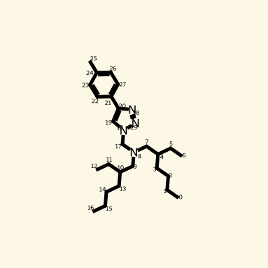 CCCCC(CC)CN(CC(CC)CCCC)Cn1cc(-c2ccc(C)cc2)nn1